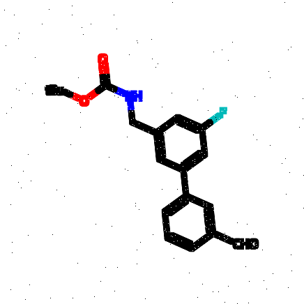 CC(C)(C)OC(=O)NCc1cc(F)cc(-c2cccc(C=O)c2)c1